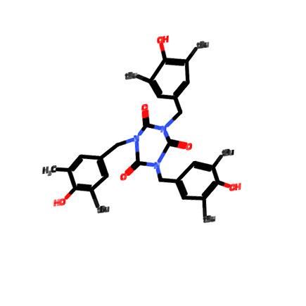 Cc1cc(Cn2c(=O)n(Cc3cc(C(C)(C)C)c(O)c(C(C)(C)C)c3)c(=O)n(Cc3cc(C(C)(C)C)c(O)c(C(C)(C)C)c3)c2=O)cc(C(C)(C)C)c1O